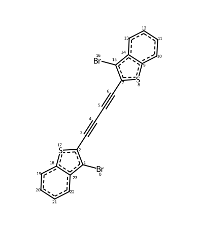 Brc1c(C#CC#Cc2sc3ccccc3c2Br)sc2ccccc12